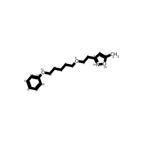 Cc1cc(CCOCCCCCOc2ccccc2)no1